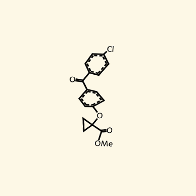 COC(=O)C1(Oc2ccc(C(=O)c3ccc(Cl)cc3)cc2)CC1